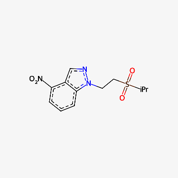 CC(C)S(=O)(=O)CCn1ncc2c([N+](=O)[O-])cccc21